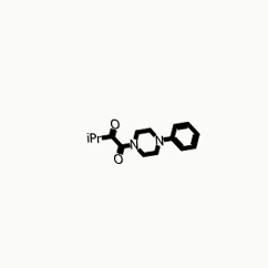 CC(C)C(=O)C(=O)N1CCN(c2ccccc2)CC1